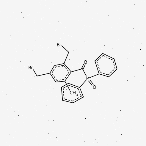 Cc1cc(CBr)cc(CBr)c1C(=O)P(=O)(c1ccccc1)c1ccccc1